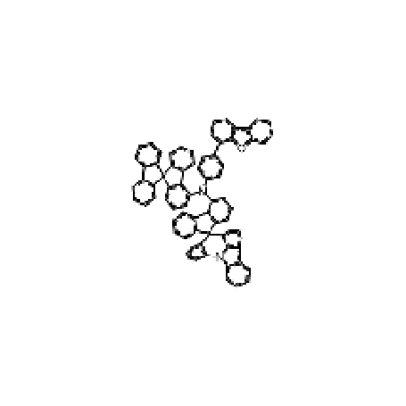 c1ccc2c(c1)-c1ccccc1C21c2ccccc2-c2c(N(c3ccc(-c4cccc5c4oc4ccccc45)cc3)c3cccc4c3-c3ccccc3C43c4ccccc4-n4c5ccccc5c5cccc3c54)cccc21